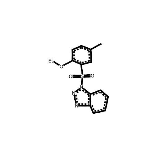 CCOc1ccc(C)cc1S(=O)(=O)n1nnc2ccccc21